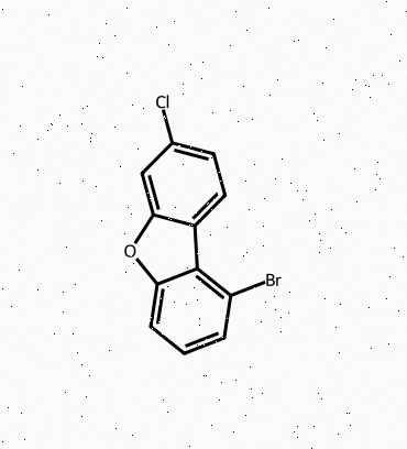 Clc1ccc2c(c1)oc1cccc(Br)c12